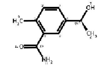 Cc1ccc([C@H](C)O)cc1C(N)=O